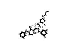 CCCO[C@H]1C[C@@H](C(=O)N[C@@H](Cc2cc(F)cc(F)c2)[C@H](O)[C@@H]2NCCN(Cc3ccccc3)C2=O)N(C)C1